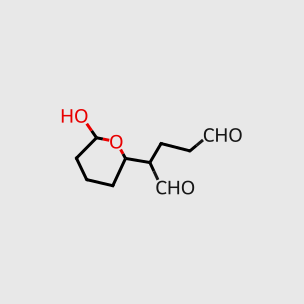 O=CCCC(C=O)C1CCCC(O)O1